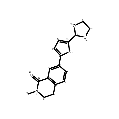 CN1CCc2ccc(-c3ccc(C4OCCO4)s3)cc2C1=O